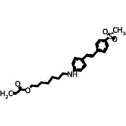 C=CC(=O)OCCCCCCCNc1ccc(C=Cc2ccc(S(C)(=O)=O)cc2)cc1